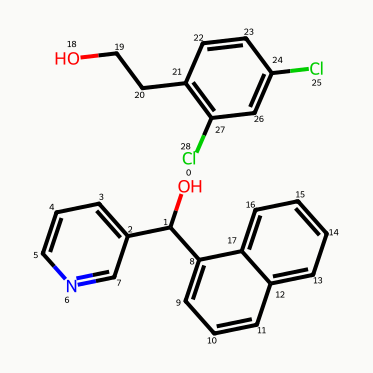 OC(c1cccnc1)c1cccc2ccccc12.OCCc1ccc(Cl)cc1Cl